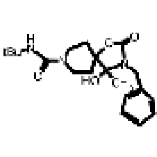 CC(C)(C)NC(=O)N1CCC2(CC1)OC(=O)N(Cc1ccccc1)C2(C)O